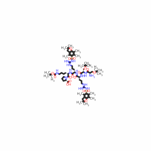 Cc1c(C)c(S(=O)(=O)NC(=N)NCCC[C@H](NC(=O)[C@H](COC(C)(C)C)NC(=O)[C@@H](N)COC(C)(C)C)C(=O)N[C@@H](CCCNC(=N)NS(=O)(=O)c2c(C)c(C)c3c(c2C)CC(C)(C)O3)C(=O)N[C@@H](CCCCNC(=O)OC(C)(C)C)C(=O)N2CCC[C@H]2C(=O)O)c(C)c2c1OC(C)(C)C2